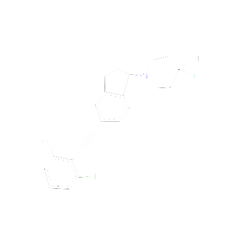 CC1(F)CCN(C2CCc3cc(C#Cc4c(Cl)cccc4Cl)ccc32)CC1